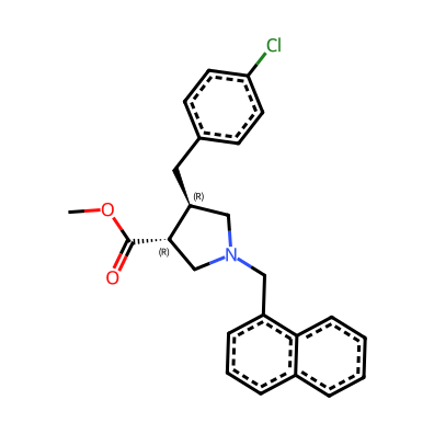 COC(=O)[C@H]1CN(Cc2cccc3ccccc23)C[C@@H]1Cc1ccc(Cl)cc1